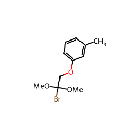 COC(Br)(COc1cccc(C)c1)OC